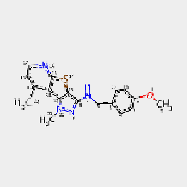 COc1ccc(CNc2nn(C)c3c2sc2nccc(C)c23)cc1